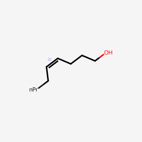 CCCC/C=C\CCCO